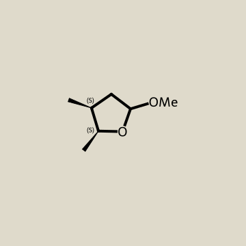 COC1C[C@H](C)[C@H](C)O1